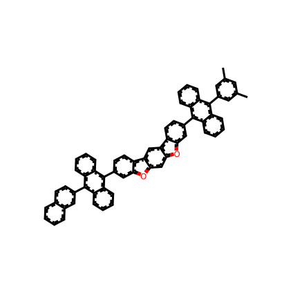 Cc1cc(C)cc(-c2c3ccccc3c(-c3ccc4c(c3)oc3cc5oc6cc(-c7c8ccccc8c(-c8ccc9ccccc9c8)c8ccccc78)ccc6c5cc34)c3ccccc23)c1